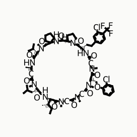 CC[C@H](C)[C@@H]1NC(=O)[C@H](CC(C)C)N(C)C(=O)C[C@@H](C)NC(=O)[C@H](C(C)C)N(C)C(=O)C2(CCCC2)NC(=O)[C@@H]2CCCN2C(=O)[C@H](CCc2ccc(C(F)(F)F)c(Cl)c2)NC(=O)CN(C)C(=O)[C@H](COc2ccccc2Cl)N(C)C(=O)CN(C)C(=O)CN(C)C1=O